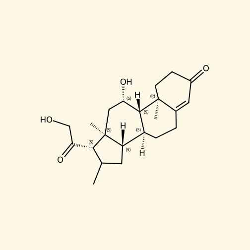 CC1C[C@H]2[C@@H]3CCC4=CC(=O)CC[C@]4(C)[C@H]3[C@@H](O)C[C@]2(C)[C@H]1C(=O)CO